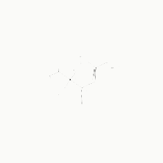 CC(=CC(C(C)C)C(C)(C)CO)C(=O)O